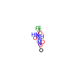 CCN1C(=O)N(OCc2ccccc2)CC[C@H]1C(=O)NNC(=O)CC(F)(F)F